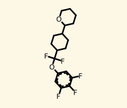 Fc1cc(OC(F)(F)C2CCC(C3CCCCO3)CC2)cc(F)c1F